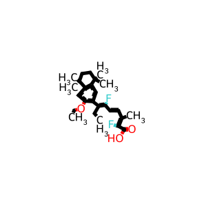 CCOc1cc2c(cc1C(CC)=C(F)C=CC(C)=C(F)C(=O)O)C(C)(C)CCC2(C)C